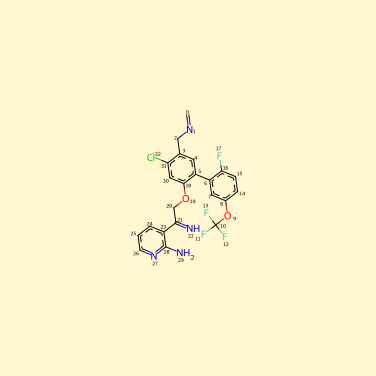 C=NCc1cc(-c2cc(OC(F)(F)F)ccc2F)c(OCC(=N)c2cccnc2N)cc1Cl